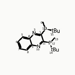 C[P@](c1nc2ccccc2nc1[P@@](C)C(C)(C)C)C(C)(C)C